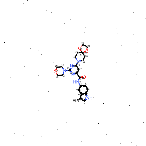 CCc1c[nH]c2ccc(NC(=O)c3cc(N4CCC5(CC4)OCCO5)nc(N4CCOCC4)n3)cc12